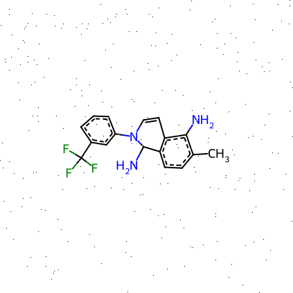 Cc1ccc2c(c1N)C=CN(c1cccc(C(F)(F)F)c1)C2N